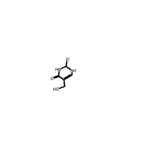 O=C1NC(Cl)NC=C1CO